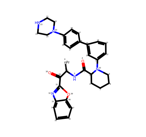 CCCC(NC(=O)C1CCCCN1c1cccc(-c2ccc(N3CCNCC3)cc2)c1)C(=O)c1nc2ccccc2o1